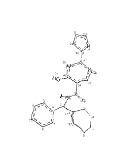 O=C(NC(c1cc[c]cc1)C1CCCCC1)c1cnc(-n2cccn2)nc1O